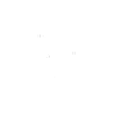 C[CH2][Zr][C]1=CC=CC1.[H-]